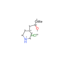 COC(=O)CC1CCNCC1.Cl